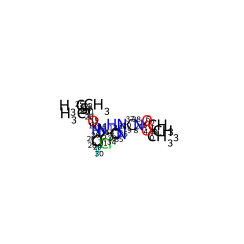 CC(C)(C)OC(=O)N1CCC(Nc2cc(-c3nn(COCC[Si](C)(C)C)c4ccc(F)cc34)c(Cl)cn2)CC1